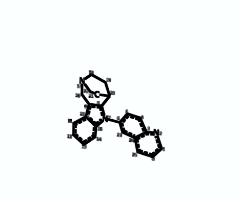 c1cnc2ccc(-n3c4c(c5ccccc53)CN3CCC4CC3)cc2c1